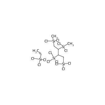 C=C[Si](Cl)(Cl)Cl.C[Si](Cl)(Cl)CC(C(C[Si](Cl)(Cl)Cl)[Si](Cl)(Cl)Cl)[Si](C)(Cl)Cl